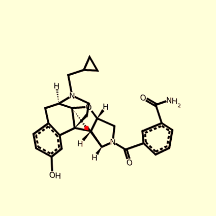 NC(=O)c1cccc(C(=O)N2C[C@H]3O[C@@]45CC[C@@H]2[C@@H]3[C@@]42CCN(CC3CC3)[C@@H]5Cc3ccc(O)cc32)c1